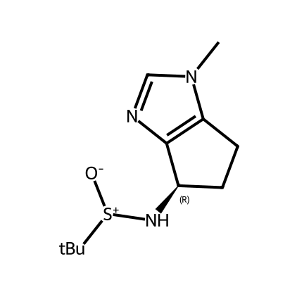 Cn1cnc2c1CC[C@H]2N[S+]([O-])C(C)(C)C